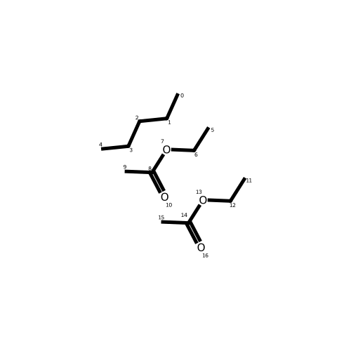 CCCCC.CCOC(C)=O.CCOC(C)=O